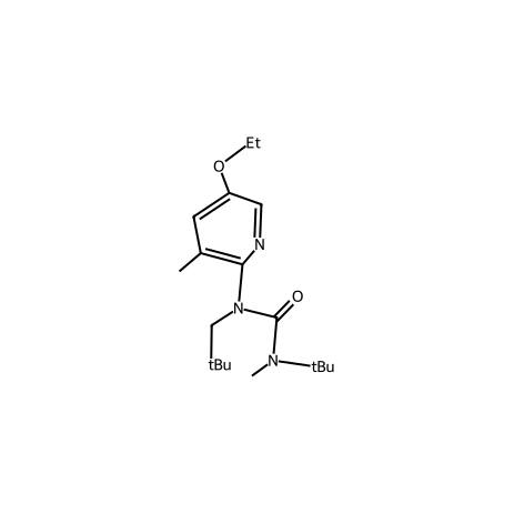 CCOc1cnc(N(CC(C)(C)C)C(=O)N(C)C(C)(C)C)c(C)c1